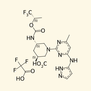 Cc1cc(Nc2ccn[nH]2)nc(N2C[C@@H](NC(=O)O[C@@H](C)C(F)(F)F)C[C@H](C(=O)O)C2)n1.O=C(O)C(F)(F)F